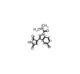 CN(C)C(=O)n1cc(C2=CC(=O)NC2=O)c2cc(Br)ccc21